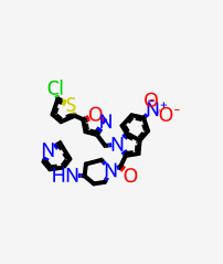 O=C(c1cc2cc([N+](=O)[O-])ccc2n1Cc1cc(-c2ccc(Cl)s2)on1)N1CCC(Nc2ccncc2)CC1